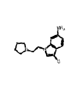 Nc1ccc2c(Cl)cn(CCN3CCCC3)c2c1